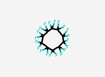 FC1(F)C(F)(F)C(F)(F)C(F)(F)C(F)(F)C(F)(F)C(F)(F)C(F)(F)C(F)(F)C1(F)F